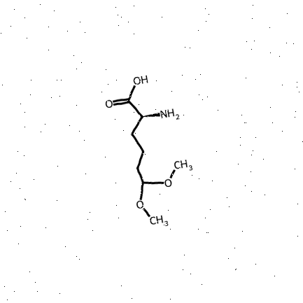 COC(CCC[C@H](N)C(=O)O)OC